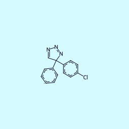 Clc1ccc(C2(c3cc[c]cc3)C=NN=N2)cc1